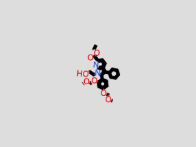 CCOC(=O)c1ccc2c(C3CCCCC3)c(-c3ccc(OCOC)cc3OCOC)n(CCO)c2n1